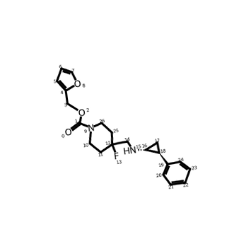 O=C(OCc1ccco1)N1CCC(F)(CN[C@@H]2C[C@H]2c2ccccc2)CC1